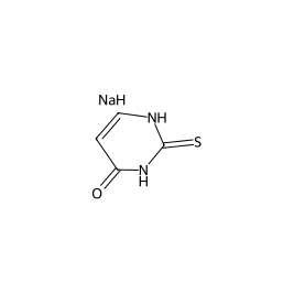 O=c1cc[nH]c(=S)[nH]1.[NaH]